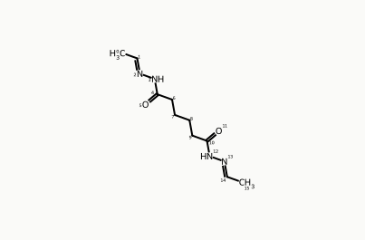 CC=NNC(=O)CCCCC(=O)NN=CC